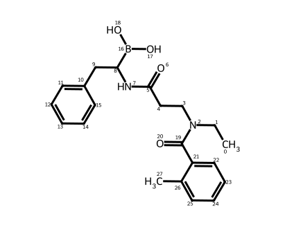 CCN(CCC(=O)NC(Cc1ccccc1)B(O)O)C(=O)c1ccccc1C